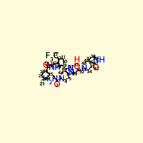 NC(=O)N1CCc2c(c(-c3ccc(C(F)(F)F)c(CNC(=O)c4ccc(F)cc4)c3)nn2CC(O)CN2CCC3(CCNC3=O)CC2)C1